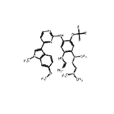 C=CNc1cc(Nc2nccc(-c3cn(C)c4cc(OC)ccc34)n2)c(OC(F)(F)F)cc1N(C)CCN(C)C